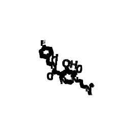 CN(C)CCn1cnc(C(=O)NCc2ccc(F)cc2)c(O)c1=O